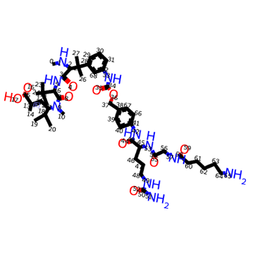 CNC(C(=O)NC(C(=O)N(C)C(/C=C(\C)C(=O)O)C(C)C)C(C)(C)C)C(C)(C)c1cccc(NC(=O)OCc2ccc(NC(=O)C(CCCNC(N)=O)NC(=O)CNC(=O)CCCCCN)cc2)c1